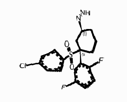 N=N[C@H]1CCC[C@](c2cc(F)ccc2F)(S(=O)(=O)c2ccc(Cl)cc2)C1